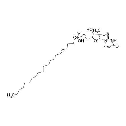 CCCCCCCCCCCCCCCCOCCCOP(=O)(O)OC[C@H]1O[C@@H](n2ccc(=O)[nH]c2=S)[C@](C)(O)C1O